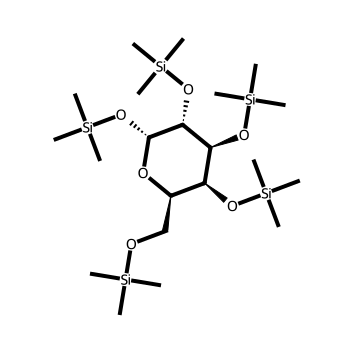 C[Si](C)(C)OC[C@H]1O[C@H](O[Si](C)(C)C)[C@H](O[Si](C)(C)C)[C@@H](O[Si](C)(C)C)[C@H]1O[Si](C)(C)C